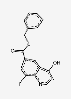 O=C(OCc1ccccc1)c1cc(I)c2ncnc(O)c2c1